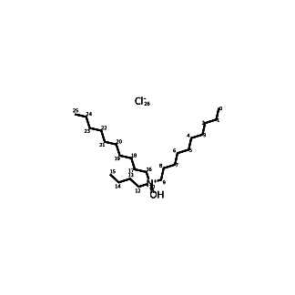 CCCCCCCCCC[N+](O)(CCCC)CCCCCCCCCC.[Cl-]